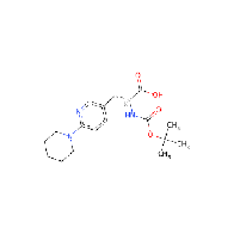 CC(C)(C)OC(=O)N[C@H](Cc1ccc(N2CCCCC2)nc1)C(=O)O